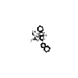 CCOC(C)O[C@@H]1[C@H]2OC3(CCCCC3)O[C@H]2O[C@@H]1C1CCC2(CCCCC2)C1